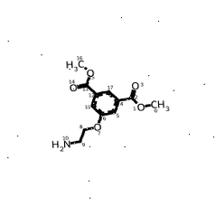 COC(=O)c1cc(OCCN)cc(C(=O)OC)c1